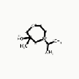 CC(C)N1CCOCC(C)(O)C1